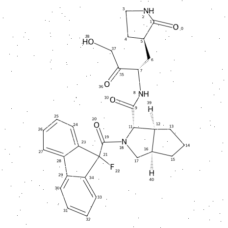 O=C1NCC[C@@H]1C[C@H](NC(=O)[C@@H]1[C@H]2CCC[C@H]2CN1C(=O)C1(F)c2ccccc2-c2ccccc21)C(=O)CO